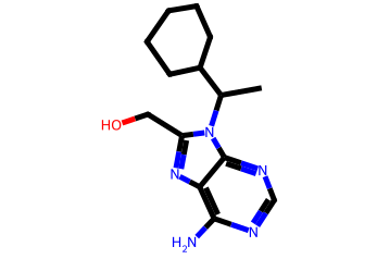 CC(C1CCCCC1)n1c(CO)nc2c(N)ncnc21